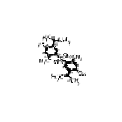 Cc1cc(O)c(C(C)C)cc1S(=O)(=O)c1cc(C(C)C)c(O)cc1C